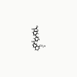 O=C(O)N1CCCc2ccc(Nc3cncc(-c4ccc5[nH]c(=O)oc5c4)c3)cc21